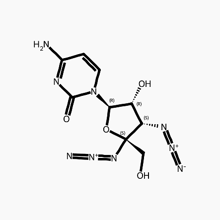 [N-]=[N+]=N[C@H]1[C@@H](O)[C@H](n2ccc(N)nc2=O)O[C@@]1(CO)N=[N+]=[N-]